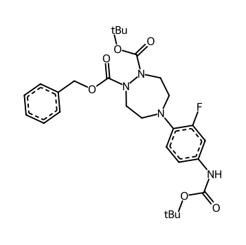 CC(C)(C)OC(=O)Nc1ccc(N2CCN(C(=O)OCc3ccccc3)N(C(=O)OC(C)(C)C)CC2)c(F)c1